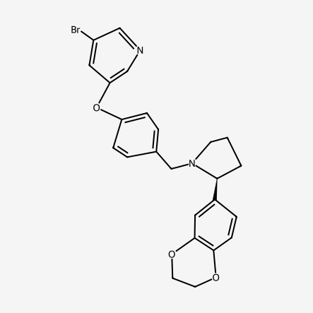 Brc1cncc(Oc2ccc(CN3CCC[C@H]3c3ccc4c(c3)OCCO4)cc2)c1